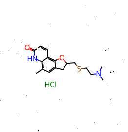 Cc1cc2c(c3ccc(=O)[nH]c13)OC(CSCCN(C)C)C2.Cl